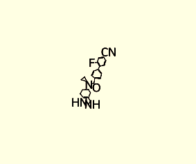 N#Cc1ccc(-c2ccc(C(=O)N(C3CC3)C3CCC4=C(CNN4)C3)cc2)c(F)c1